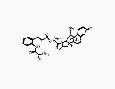 CO[C@]1(C(=O)COC(=O)CCc2ccccc2NC(=O)[C@@H](N)C(C)C)[C@H](C)C[C@H]2[C@@H]3CCC4=CC(=O)C=C[C@]4(C)[C@@]3(F)[C@@H](O)C[C@@]21C